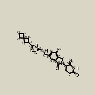 O=C1CCC(N2Cc3c(F)cc(CNc4nnc(C5CC6(CCC6)C5)o4)cc3C2=O)C(=O)N1